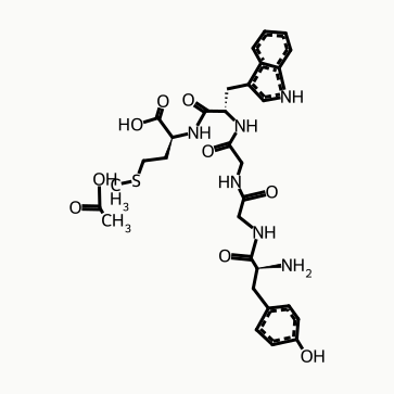 CC(=O)O.CSCC[C@H](NC(=O)[C@H](Cc1c[nH]c2ccccc12)NC(=O)CNC(=O)CNC(=O)[C@@H](N)Cc1ccc(O)cc1)C(=O)O